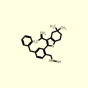 C=C(C)c1c(-c2cc(Cc3ccccc3)ccc2CNS)sc2c1CC(C)(C)CC2